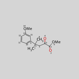 COC(=O)C(=O)CC(C)(C)c1cccc(OC)c1